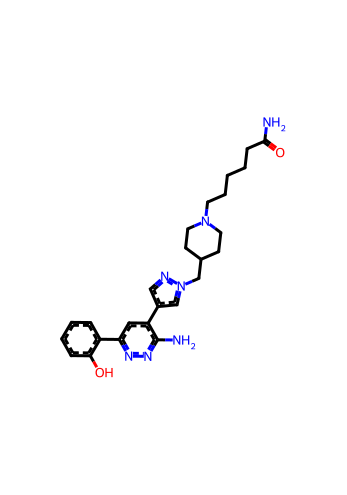 NC(=O)CCCCCN1CCC(Cn2cc(-c3cc(-c4ccccc4O)nnc3N)cn2)CC1